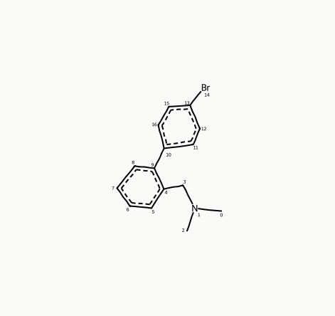 CN(C)Cc1ccccc1-c1ccc(Br)cc1